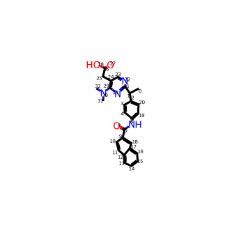 CC(c1ccc(NC(=O)c2ccc3ccccc3c2)cc1)c1ncc(CC(=O)O)c(N(C)C)n1